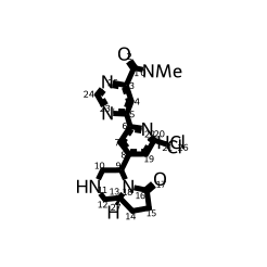 CNC(=O)c1cc(-c2cc(C3CNC[C@H]4CCC(=O)N34)cc(Cl)n2)ncn1.Cl